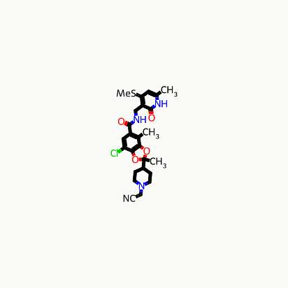 CSc1cc(C)[nH]c(=O)c1CNC(=O)c1cc(Cl)c2c(c1C)OC(C)(C1CCN(CC#N)CC1)O2